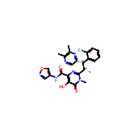 Cc1ncc([C@H](c2ccccc2Cl)[C@H](C)c2nc(C(=O)Nc3cnoc3)c(O)c(=O)n2C)nc1C